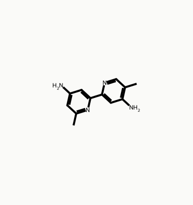 Cc1cc(N)cc(-c2cc(N)c(C)cn2)n1